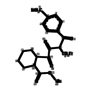 CCOC(=O)c1ccc(C(=O)C(C(=O)OCC)C(=O)C(=O)C2CCCCN2C(=O)OC(C)(C)C)cc1